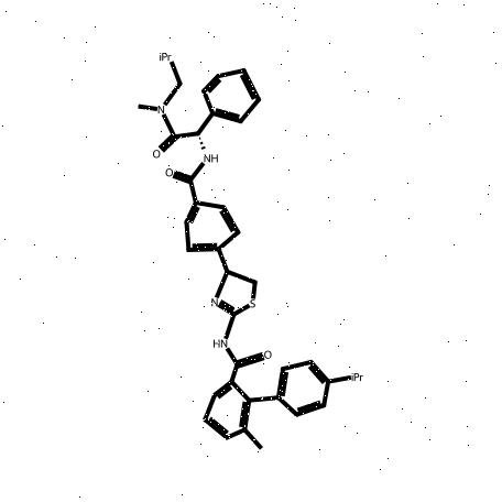 Cc1cccc(C(=O)NC2=NC(c3ccc(C(=O)N[C@H](C(=O)N(C)CC(C)C)c4ccccc4)cc3)CS2)c1-c1ccc(C(C)C)cc1